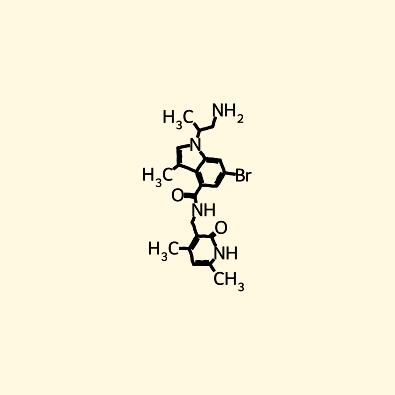 Cc1cc(C)c(CNC(=O)c2cc(Br)cc3c2c(C)cn3C(C)CN)c(=O)[nH]1